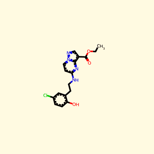 CCOC(=O)c1cnn2ccc(NCCc3cc(Cl)ccc3O)nc12